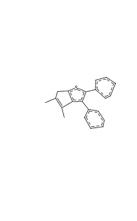 CC1=C(C)c2c(sc(-c3ccccc3)c2-c2ccccc2)C1